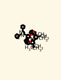 CC(C)(C)c1cc(-c2ccccc2)c2c(c1)c1cc(C(C)(C)C)cc(-c3ccccc3)c1n2-c1c(-c2ccccc2)cc(-c2cc(-c3ccccc3)nc(-c3ccccc3)n2)cc1-c1ccccc1